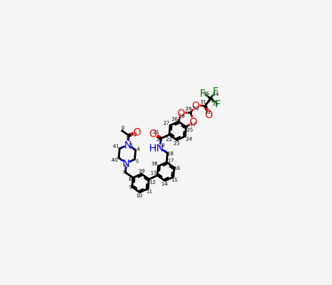 CC(=O)N1CCN(Cc2cccc(-c3cccc(CNC(=O)c4ccc5c(c4)OC(OC(=O)C(F)(F)F)O5)c3)c2)CC1